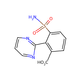 NS(=O)(=O)c1cccc(C(=O)O)c1-c1ncccn1